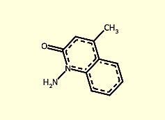 Cc1cc(=O)n(N)c2ccccc12